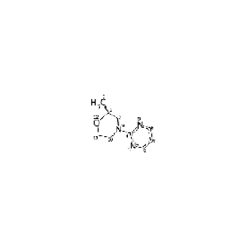 C[C@H]1CN(c2ncccn2)CCO1